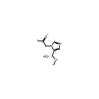 CO[C@H](O)c1cncn1CC(C)=O